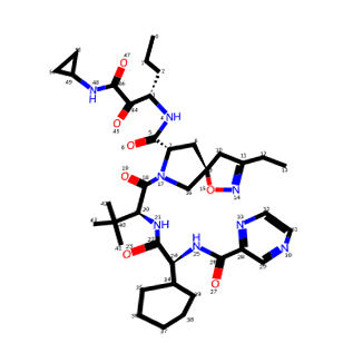 CCC[C@H](NC(=O)[C@@H]1C[C@]2(CC(CC)=NO2)CN1C(=O)[C@@H](NC(=O)[C@@H](NC(=O)c1cnccn1)C1CCCCC1)C(C)(C)C)C(=O)C(=O)NC1CC1